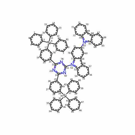 c1ccc([Si](c2ccccc2)(c2ccccc2)c2cccc(-c3nc(-c4cccc([Si](c5ccccc5)(c5ccccc5)c5ccccc5)c4)nc(-n4c5ccccc5c5cc(-n6c7ccccc7c7ccccc76)ccc54)n3)c2)cc1